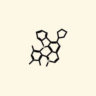 Cc1cc(C)c2c(c1C)c1c3c(cc[n+]1C)cc(C1CCCC1)c1c4ccccc4n2c13